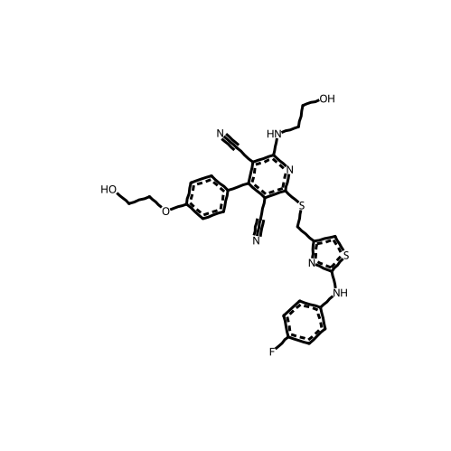 N#Cc1c(NCCO)nc(SCc2csc(Nc3ccc(F)cc3)n2)c(C#N)c1-c1ccc(OCCO)cc1